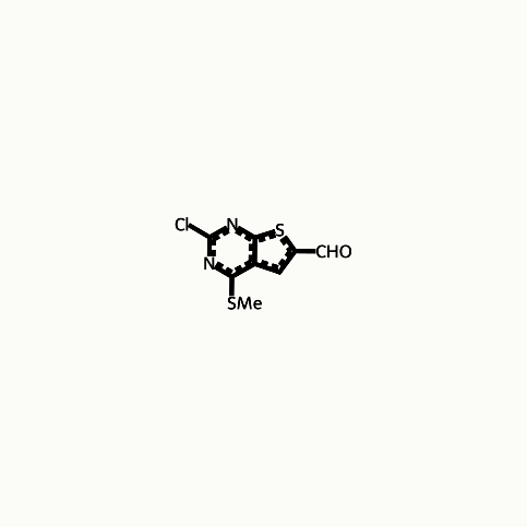 CSc1nc(Cl)nc2sc(C=O)cc12